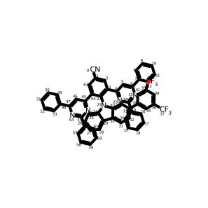 N#Cc1cc(-c2cc(-c3ccccc3)nc(-c3ccccc3)n2)c(-n2c3ccccc3c3ccc(-c4cc(C(F)(F)F)cc(C(F)(F)F)c4)cc32)c(-c2cc(-c3ccccc3)nc(-c3ccccc3)n2)c1